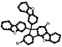 Brc1ccc2c(c1)C(c1ccc3c(c1)oc1ccccc13)(c1ccc3oc4ccccc4c3c1)c1cc(Br)c3c(oc4ccccc43)c1-2